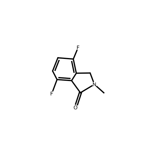 CN1Cc2c(F)ccc(F)c2C1=O